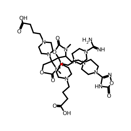 CN1C(=O)OC(N2CCN(CCCC(=O)O)CC2)(C2(N3CCN(CCCC(=O)O)CC3)COC(=O)[N+]2(C)CCN2CCN(C(=N)N)CC2)C1CCN1CCN(c2noc(=O)[nH]2)CC1